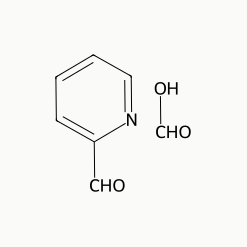 O=CO.O=Cc1ccccn1